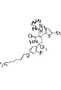 CCc1cnc(C2=C(c3nnn[nH]3)C(=O)NC(c3ccc(OCCCCCC(F)(F)F)cc3F)(C(F)(F)F)C2)s1